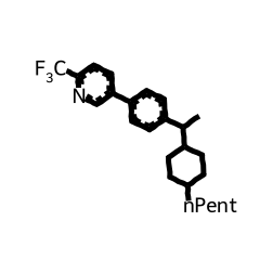 CCCCCC1CCC(C(C)c2ccc(-c3ccc(C(F)(F)F)nc3)cc2)CC1